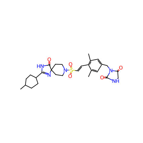 Cc1cc(CN2C(=O)CNC2=O)cc(C)c1C=CS(=O)(=O)N1CCC2(CC1)N=C(C1CCC(C)CC1)NC2=O